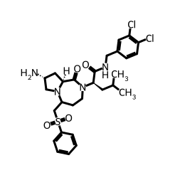 CC(C)C[C@H](C(=O)NCc1ccc(Cl)c(Cl)c1)N1CCC(CS(=O)(=O)c2ccccc2)N2C[C@H](N)C[C@H]2C1=O